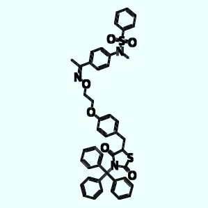 CC(=NOCCOc1ccc(CC2SC(=O)N(C(c3ccccc3)(c3ccccc3)c3ccccc3)C2=O)cc1)c1ccc(N(C)S(=O)(=O)c2ccccc2)cc1